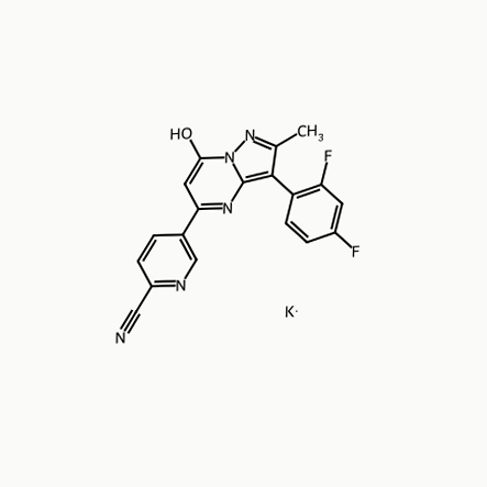 Cc1nn2c(O)cc(-c3ccc(C#N)nc3)nc2c1-c1ccc(F)cc1F.[K]